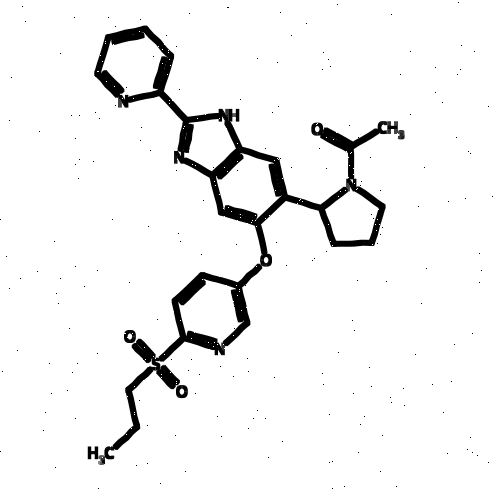 CCCS(=O)(=O)c1ccc(Oc2cc3nc(-c4ccccn4)[nH]c3cc2C2CCCN2C(C)=O)cn1